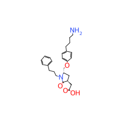 NCCCCc1ccc(OC[C@@H]2C[C@@H](CC(=O)O)C(=O)N2CCCc2ccccc2)cc1